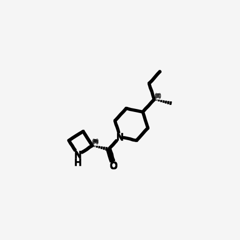 CC[C@H](C)C1CCN(C(=O)[C@H]2CCN2)CC1